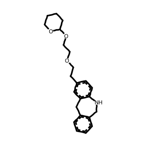 c1ccc2c(c1)CNc1ccc(CCOCCOC3CCCCO3)cc1C2